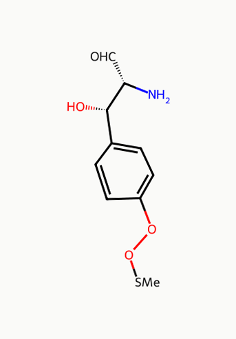 CSOOc1ccc([C@H](O)[C@@H](N)C=O)cc1